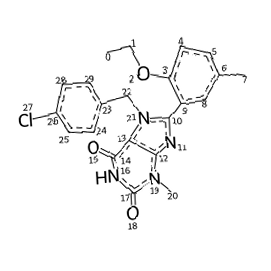 CCOc1ccc(C)cc1-c1nc2c(c(=O)[nH]c(=O)n2C)n1Cc1ccc(Cl)cc1